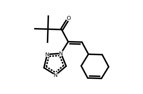 CC(C)(C)C(=O)/C(=C/C1CC=CCC1)n1cncn1